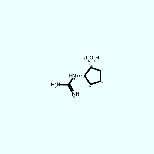 N=C(N)N[C@H]1CCC[C@H]1C(=O)O